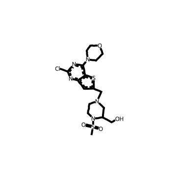 CS(=O)(=O)N1CCN(Cc2cc3nc(Cl)nc(N4CCOCC4)c3s2)CC1CO